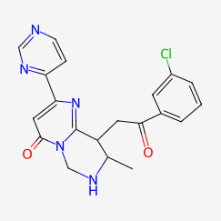 CC1NCn2c(nc(-c3ccncn3)cc2=O)C1CC(=O)c1cccc(Cl)c1